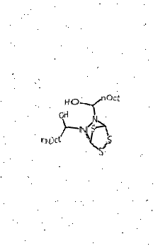 CCCCCCCCC(O)N1C2SSC(S2)N1C(O)CCCCCCCC